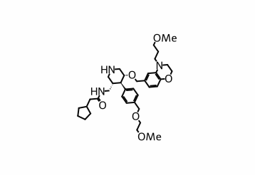 COCCCN1CCOc2ccc(CO[C@H]3CNC[C@@H](CNC(=O)CC4CCCC4)[C@@H]3c3ccc(COCCOC)cc3)cc21